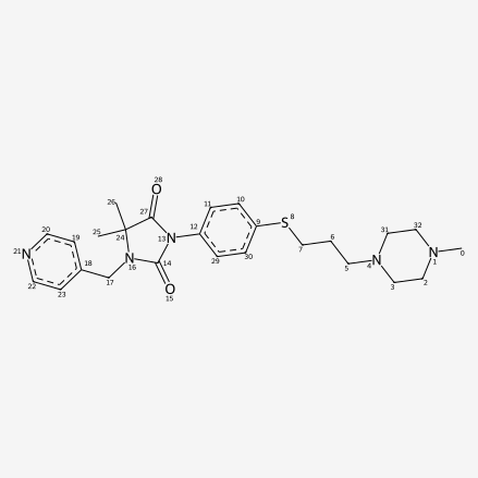 CN1CCN(CCCSc2ccc(N3C(=O)N(Cc4ccncc4)C(C)(C)C3=O)cc2)CC1